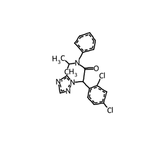 CC(C)N(C(=O)C(c1ccc(Cl)cc1Cl)n1cncn1)c1ccccc1